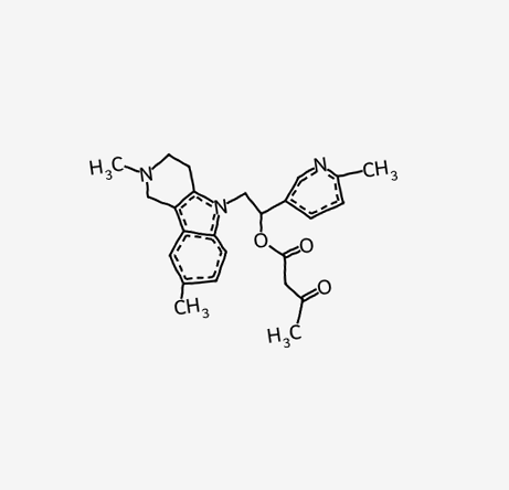 CC(=O)CC(=O)OC(Cn1c2c(c3cc(C)ccc31)CN(C)CC2)c1ccc(C)nc1